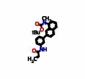 C=CC(=O)Nc1cccc(-c2ccc3cccc(N(C)C(=O)OC(C)(C)C)c3c2)c1